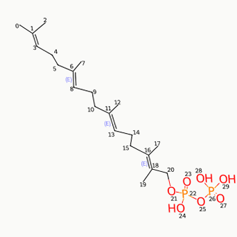 CC(C)=CCC/C(C)=C/CC/C(C)=C/CC/C(C)=C(\C)COP(=O)(O)OP(=O)(O)O